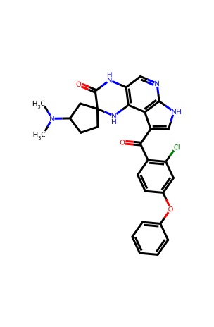 CN(C)C1CCC2(C1)Nc1c(cnc3[nH]cc(C(=O)c4ccc(Oc5ccccc5)cc4Cl)c13)NC2=O